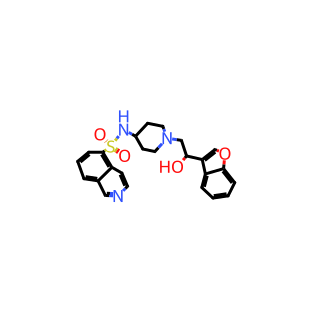 O=S(=O)(NC1CCN(CC(O)c2coc3ccccc23)CC1)c1cccc2cnccc12